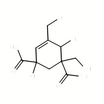 CCC1(C(=O)O)CC(C)(C(=O)O)C=C(CCl)C1Cl